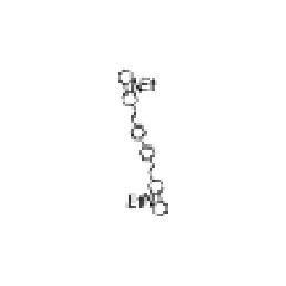 CCn1c2ccccc2c2ccc(/C=C/c3ccc(-c4ccc(/C=C/c5ccc6c7ccccc7n(CC)c6c5)cc4)cc3)cc21